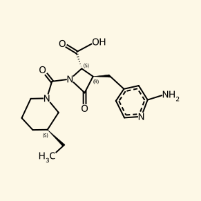 CC[C@H]1CCCN(C(=O)N2C(=O)[C@H](Cc3ccnc(N)c3)[C@H]2C(=O)O)C1